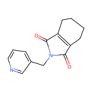 O=C1C2=C(CCCC2)C(=O)N1Cc1cccnc1